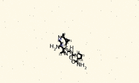 C=C(/N=C\C=C(/N)c1sc(NC(=O)N2CCC[C@H]2C(N)=O)nc1C)C1CC1C